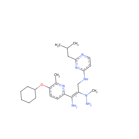 Cc1nc(/C(N)=C(\CNc2ccnc(CC(C)C)n2)N(C)N)ccc1OC1CCCCC1